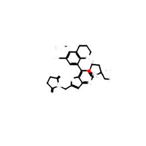 C[C@@]1(CO)C[C@@H](N2CCCc3cc(Cl)cc(-c4ccnc5cc(CN6C(=O)CCC6=O)sc45)c32)CN1.O=CO